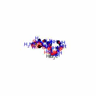 CCC(=O)N[C@H](Cc1c[nH]c2ccccc12)C(=O)N1CCC[C@H]1C(=O)N(C)[C@@H](C)C(=O)N[C@@H](CC(=O)O)C(=O)N[C@H](C(=O)N(C)[C@@H](CO)C(=O)NCC(=O)N[C@@H](CCCNC(=N)N)C(=O)N(C)[C@@H](Cc1ccccc1)C(=O)N(C)CC(=O)N[C@@H](Cc1ccc(O)cc1)C(=O)N(C)[C@@H](Cc1ccccc1)C(=O)N1CCC[C@H]1C(=O)N[C@@H](CS)C(=O)NCC(N)=O)C(C)C